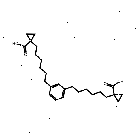 O=C(O)C1(CCCCCCc2cccc(CCCCCCC3(C(=O)O)CC3)c2)CC1